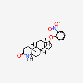 CN1C(=O)CC[C@]2(C)[C@H]3CC[C@]4(C)[C@@H](Oc5ccccc5[N+](=O)[O-])CC[C@H]4[C@@H]3CC[C@@H]12